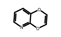 C1=COc2ncccc2O1